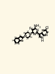 Nc1nc(-c2c[nH]c3ncc(Cl)nc23)nc(N2CCN(c3cc4ccccc4s3)CC2)c1F